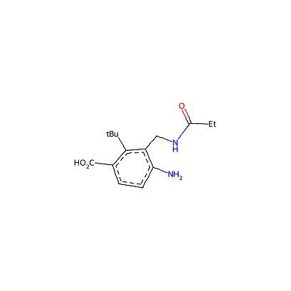 CCC(=O)NCc1c(N)ccc(C(=O)O)c1C(C)(C)C